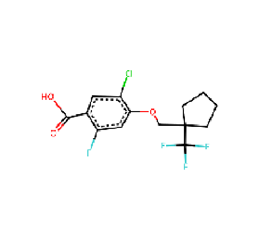 O=C(O)c1cc(Cl)c(OCC2(C(F)(F)F)CCCC2)cc1F